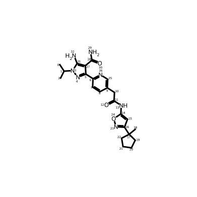 CC(C)n1nc(-c2ccc(CC(=O)Nc3cc(C4(C)CCCC4)no3)cn2)c(C(N)=O)c1N